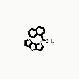 BCc1cccc2ccccc12.c1cc2sc3ccsc3c2s1